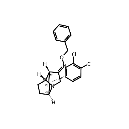 Clc1ccc([C@H]2C[C@@H]3CC[C@@H]4[C@@H]2C(=NOCc2ccccc2)CN34)cc1Cl